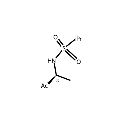 CC(=O)[C@H](C)NS(=O)(=O)C(C)C